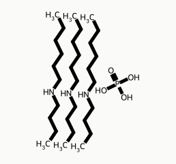 CCCCCCNCCCC.CCCCCCNCCCC.CCCCCCNCCCC.O=P(O)(O)O